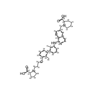 Cc1c(Nc2nccc3cc(CN4CCCCC4C(=O)O)cnc23)cccc1-c1cccc(OCCCN2CCCC2C(=O)O)c1C